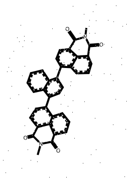 CN1C(=O)c2cccc3c(-c4ccc(-c5ccc6c7c(cccc57)C(=O)N(C)C6=O)c5ccccc45)ccc(c23)C1=O